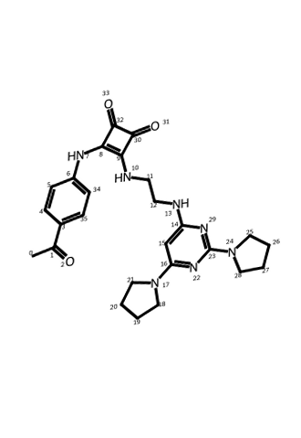 CC(=O)c1ccc(Nc2c(NCCNc3cc(N4CCCC4)nc(N4CCCC4)n3)c(=O)c2=O)cc1